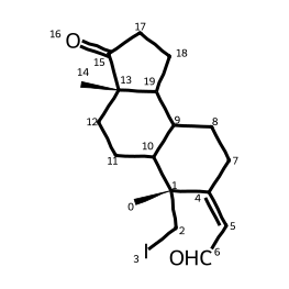 C[C@]1(CI)/C(=C\C=O)CCC2C1CC[C@]1(C)C(=O)CCC21